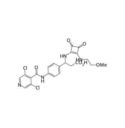 COCCNc1c(NC(CC(=O)O)c2ccc(NC(=O)c3c(Cl)cncc3Cl)cc2)c(=O)c1=O